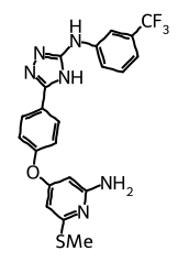 CSc1cc(Oc2ccc(-c3nnc(Nc4cccc(C(F)(F)F)c4)[nH]3)cc2)cc(N)n1